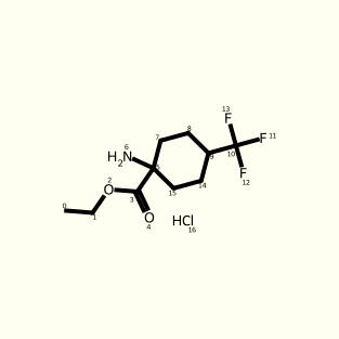 CCOC(=O)C1(N)CCC(C(F)(F)F)CC1.Cl